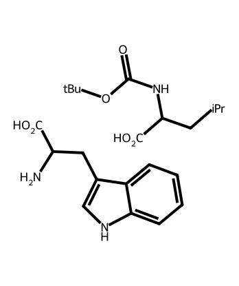 CC(C)CC(NC(=O)OC(C)(C)C)C(=O)O.NC(Cc1c[nH]c2ccccc12)C(=O)O